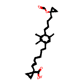 Cc1cc(CCCCCCC2(C(=O)O)CC2)c(C)c(C)c1CCCCC1(OC=O)CC1